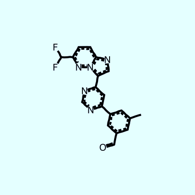 Cc1cc(C=O)cc(-c2cc(-c3cnc4ccc(C(F)F)nn34)ncn2)c1